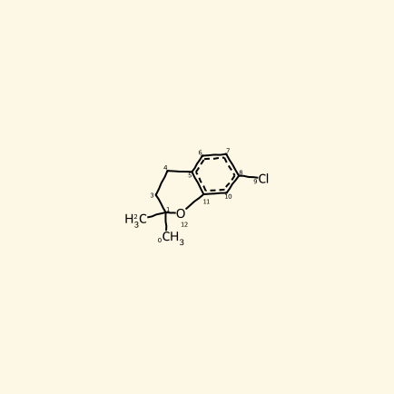 CC1(C)CCc2ccc(Cl)cc2O1